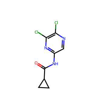 O=C(Nc1cnc(Cl)c(Cl)n1)C1CC1